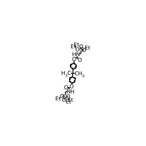 CCO[Si](CNC(=O)Oc1ccc(C(C)(C)c2ccc(OC(=O)NC[Si](OCC)(OCC)OCC)cc2)cc1)(OCC)OCC